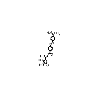 CN(C)c1ccc(N=Nc2ccc(C(=O)OCC(O)C3OC(=O)C(O)=C3O)cc2)cc1